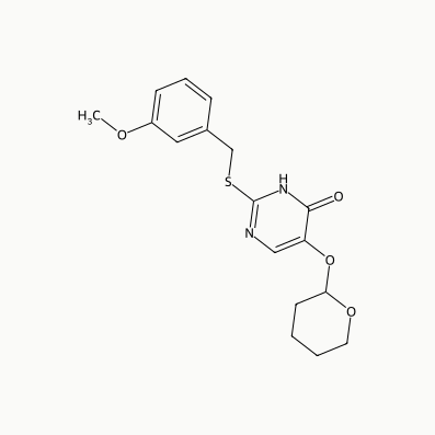 COc1cccc(CSc2ncc(OC3CCCCO3)c(=O)[nH]2)c1